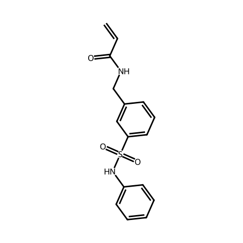 C=CC(=O)NCc1cccc(S(=O)(=O)Nc2ccccc2)c1